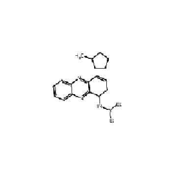 CC1CCCC1.CCN(CC)NC1CC=Cc2nc3ccccc3nc21